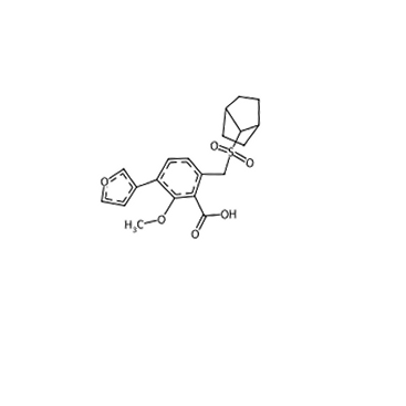 COc1c(-c2ccoc2)ccc(CS(=O)(=O)C2C3CCC2CC3)c1C(=O)O